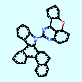 c1ccc2c(c1)Oc1cccc3nc(-n4c5ccccc5c5c6ccccc6c6c7ccccc7ccc6c54)nc-2c13